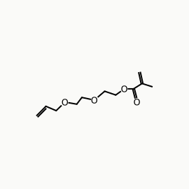 C=CCOCCOCCOC(=O)C(=C)C